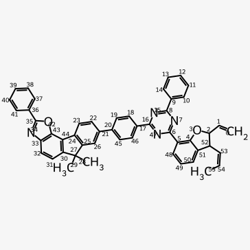 C=CC1Oc2c(-c3nc(-c4ccccc4)nc(-c4ccc(-c5ccc6c(c5)C(C)(C)c5ccc7nc(-c8ccccc8)oc7c5-6)cc4)n3)cccc2C1/C=C\C